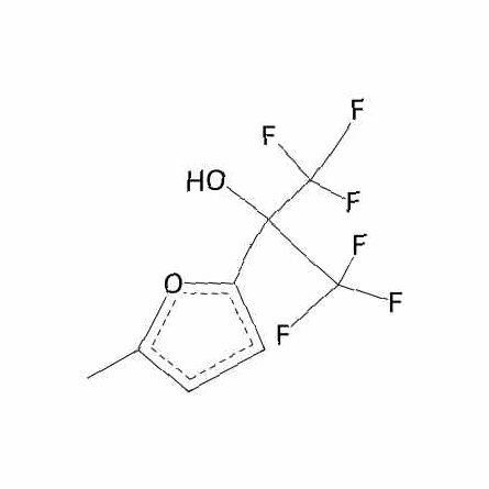 Cc1ccc(C(O)(C(F)(F)F)C(F)(F)F)o1